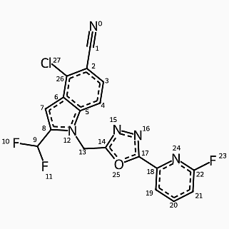 N#Cc1ccc2c(cc(C(F)F)n2Cc2nnc(-c3cccc(F)n3)o2)c1Cl